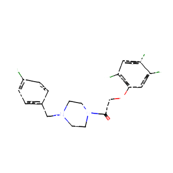 O=C(COc1cc(F)c(F)cc1Br)N1CCN(Cc2ccc(Cl)cc2)CC1